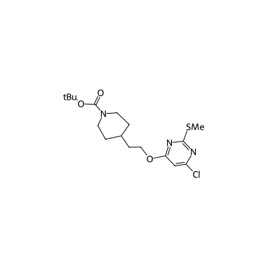 CSc1nc(Cl)cc(OCCC2CCN(C(=O)OC(C)(C)C)CC2)n1